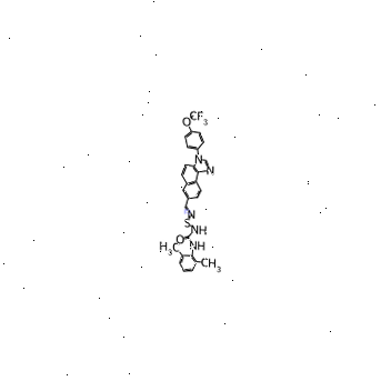 Cc1cccc(C)c1NC(=O)NS/N=C/c1ccc2c(ccc3c2ncn3-c2ccc(OC(F)(F)F)cc2)c1